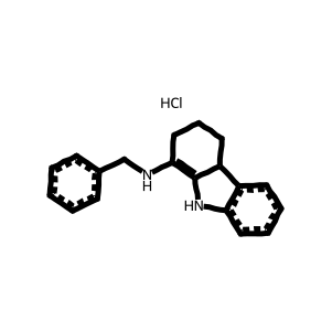 Cl.c1ccc(CNC2=C3Nc4ccccc4C3CCC2)cc1